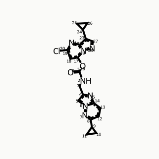 O=C(NCc1cn2nc(C3CC3)ccc2n1)Oc1cc(Cl)nc2c(C3CC3)cnn12